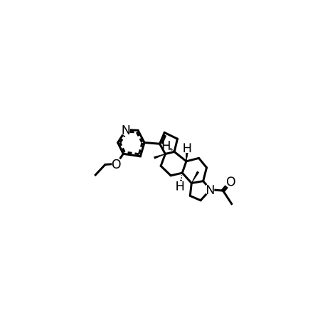 CCOc1cncc(C2=CC[C@H]3[C@@H]4CCC5N(C(C)=O)CC[C@]5(C)[C@H]4CC[C@]23C)c1